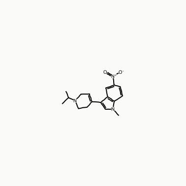 CC(C)N1CC=C(c2cn(C)c3ccc([N+](=O)[O-])cc23)CC1